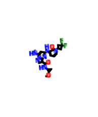 CNc1cc(Nc2cccn(C3CC(F)(F)C3)c2=O)nc2c(C(=O)NC3C[C@@H]3OC)cnn12